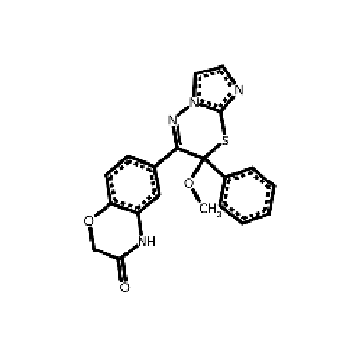 COC1(c2ccccc2)Sc2nccn2N=C1c1ccc2c(c1)NC(=O)CO2